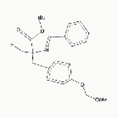 COCOc1ccc(CC(CF)(/N=C/c2ccccc2)C(=O)OC(C)(C)C)cc1